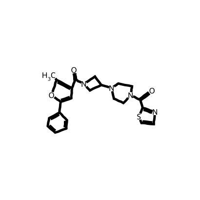 Cc1oc(-c2ccccc2)cc1C(=O)N1CC(N2CCN(C(=O)c3nccs3)CC2)C1